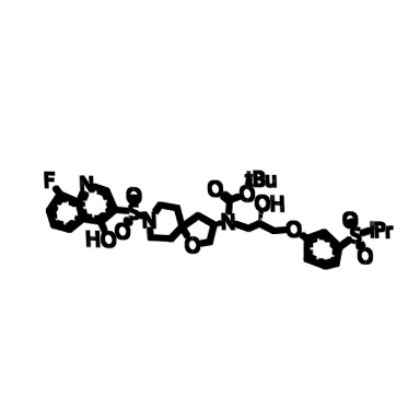 CC(C)S(=O)(=O)c1cccc(OC[C@@H](O)CN(C(=O)OC(C)(C)C)[C@H]2COC3(CCN(S(=O)(=O)c4cnc5c(F)cccc5c4O)CC3)C2)c1